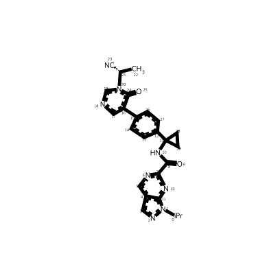 CC(C)n1ncc2cnc(C(=O)NC3(c4ccc(-c5cncn([C@@H](C)C#N)c5=O)cc4)CC3)nc21